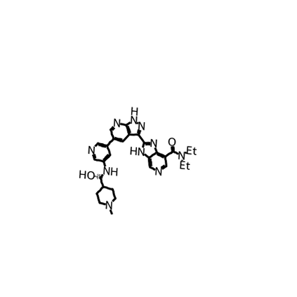 CCN(CC)C(=O)c1cncc2[nH]c(-c3n[nH]c4ncc(-c5cncc(N[C@@H](O)C6CCN(C)CC6)c5)cc34)nc12